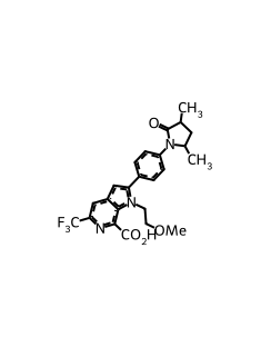 COCCn1c(-c2ccc(N3C(=O)C(C)CC3C)cc2)cc2cc(C(F)(F)F)nc(C(=O)O)c21